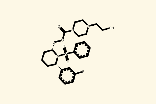 O=C(OC[C@H]1CCC[C@@H](c2cccc(F)c2)N1S(=O)(=O)c1ccccc1)N1CCN(CCO)CC1